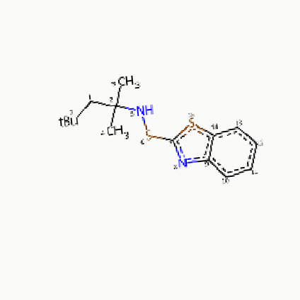 CC(C)(C)CC(C)(C)NSc1nc2ccccc2s1